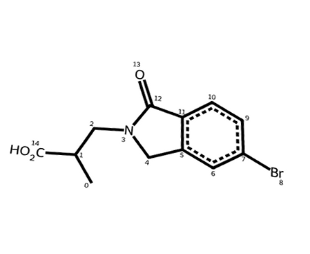 CC(CN1Cc2cc(Br)ccc2C1=O)C(=O)O